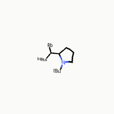 CC(C)(C)N1CCCC1[CH]([Rb])[RaH]